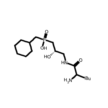 CCC(C)C(N)C(=O)NC[C@H](O)CP(=O)(O)CC1CCCCC1